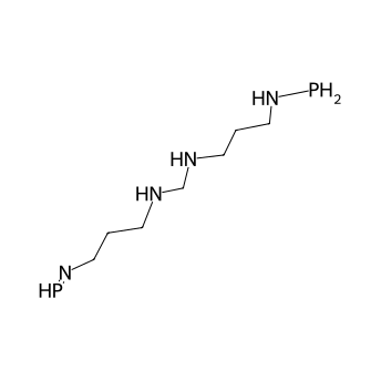 P=NCCCNCNCCCNP